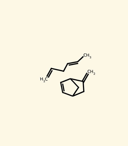 C=C1CC2C=CC1C2.C=CCC=CC